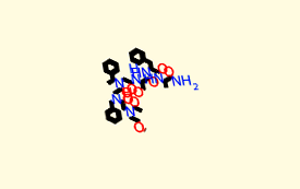 COCCN(CC(=O)N(CC(=O)N(CC(=O)NC(CO)C(=O)NC(Cc1ccccc1)C(=O)NC(C)C(N)=O)C(C)c1ccccc1)Cc1ccccc1)C(C)=O